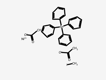 CC(=O)[O-].CC(=O)[O-].CI.[Ni+2].c1cc[c]([Sn]([c]2ccccc2)([c]2ccccc2)[c]2ccccc2)cc1